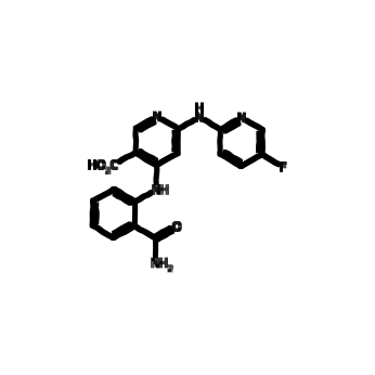 NC(=O)c1ccccc1Nc1cc(Nc2ccc(F)cn2)ncc1C(=O)O